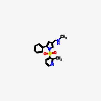 CNCc1cc(-c2ccccc2)n(S(=O)(=O)c2cccnc2C)c1